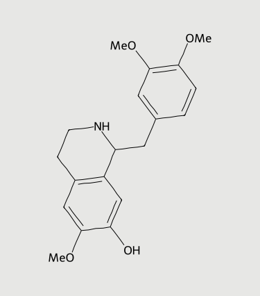 COc1cc2c(cc1O)C(Cc1ccc(OC)c(OC)c1)NCC2